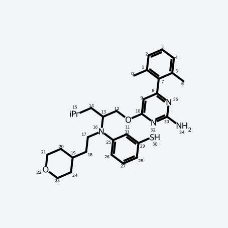 Cc1cccc(C)c1-c1cc(OCC(CC(C)C)N(CCC2CCOCC2)c2cccc(S)c2)nc(N)n1